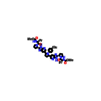 COC(=O)N[C@H](C(=O)N1CCC[C@H]1c1nc2cc(C3CCC(c4cnc5[nH]c([C@@H]6CCCN6C(=O)[C@@H](NC(=O)OC)C(C)C)nc5c4)N3c3ccc(C(C)(C)C)cc3)cnc2[nH]1)C(C)C